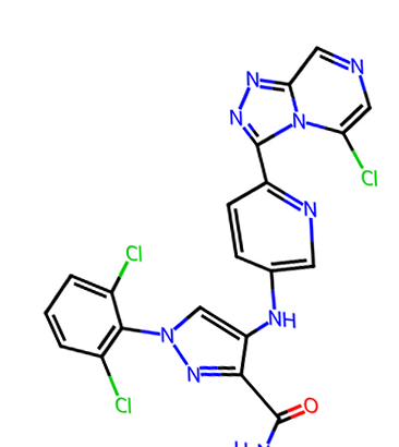 NC(=O)c1nn(-c2c(Cl)cccc2Cl)cc1Nc1ccc(-c2nnc3cncc(Cl)n23)nc1